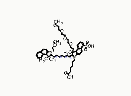 COCCOCCOCCOCCC1(C)\C(=C/C=C/C=C/C=C/C2=[N+](CCOC)c3ccc4ccccc4c3C2(C)C)N(CCCCCC(=O)O)c2ccc3c(S(=O)(=O)O)cccc3c21